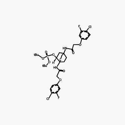 CC(C)(C)OP(=O)(O[C@@H]1CC2(NC(=O)COc3ccc(Cl)c(F)c3)CCC1(NC(=O)COc1ccc(Cl)c(F)c1)CC2)OC(C)(C)C